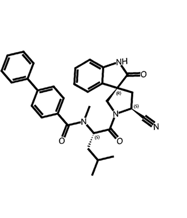 CC(C)C[C@@H](C(=O)N1C[C@]2(C[C@H]1C#N)C(=O)Nc1ccccc12)N(C)C(=O)c1ccc(-c2ccccc2)cc1